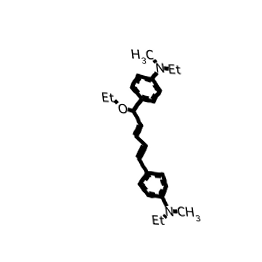 CCOC(C=CC=Cc1ccc(N(C)CC)cc1)c1ccc(N(C)CC)cc1